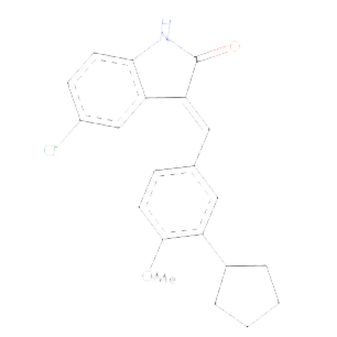 COc1ccc(/C=C2/C(=O)Nc3ccc(Cl)cc32)cc1C1CCCC1